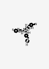 N#Cc1ccc(C[C@@H](Nc2nc(NCc3nc4cc(F)ccc4[nH]3)nc(Nc3cccc(CN4CCNCC4)c3)n2)C(=O)O)cc1